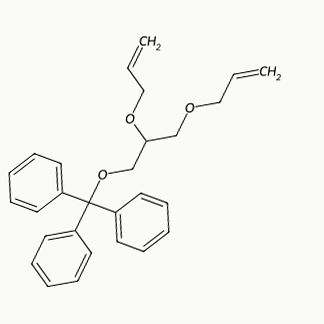 C=CCOCC(COC(c1ccccc1)(c1ccccc1)c1ccccc1)OCC=C